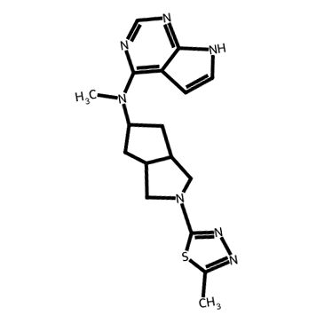 Cc1nnc(N2CC3CC(N(C)c4ncnc5[nH]ccc45)CC3C2)s1